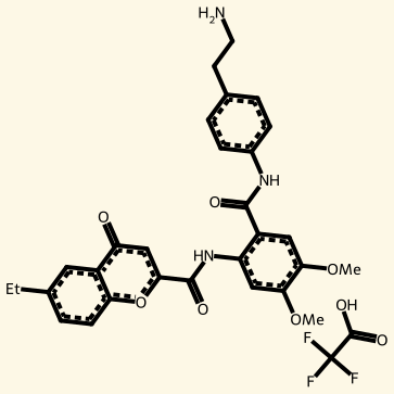 CCc1ccc2oc(C(=O)Nc3cc(OC)c(OC)cc3C(=O)Nc3ccc(CCN)cc3)cc(=O)c2c1.O=C(O)C(F)(F)F